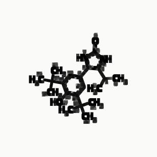 CC(C)c1[nH]c(=O)[nH]c1-c1cc(C(C)(C)C)c(O)c(C(C)(C)C)c1